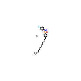 CCCCCCCCCCCCc1ccc(S(=O)(=O)Nc2ccc(F)[c]c2F)cc1.[Ti]